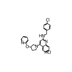 Cl.Clc1ccc(CNc2cc(N3CCC(Oc4ccccn4)C3)c3ccccc3n2)cc1